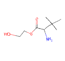 CC(C)(C)C(N)C(=O)OCCO